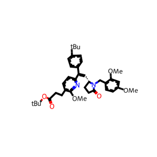 COc1ccc(CN2C(=O)CC[C@@H]2/C=C(/c2ccc(C(C)(C)C)cc2)c2ccc(CCC(=O)OC(C)(C)C)c(OC)n2)c(OC)c1